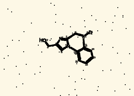 CCN1Cc2nc(CO)cn2-c2ccccc21